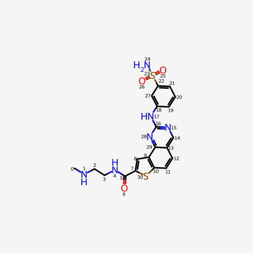 CNCCNC(=O)c1cc2c(ccc3cnc(Nc4cccc(S(N)(=O)=O)c4)nc32)s1